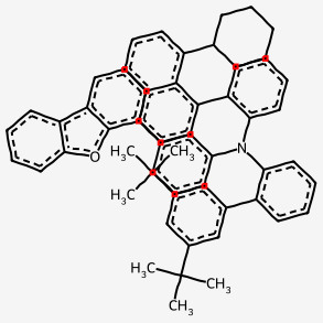 CC(C)(C)c1cc(-c2ccccc2N(c2cccc(-c3cccc4c3oc3ccccc34)c2)c2ccccc2-c2cccc3cccc(C4CCCCC4)c23)cc(C(C)(C)C)c1